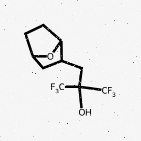 OC(CC1CC2CCC1O2)(C(F)(F)F)C(F)(F)F